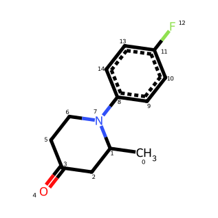 CC1CC(=O)CCN1c1ccc(F)cc1